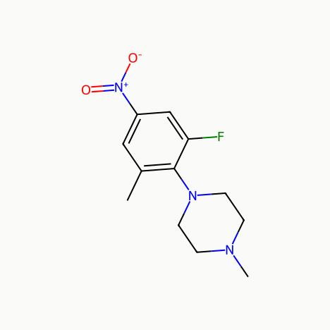 Cc1cc([N+](=O)[O-])cc(F)c1N1CCN(C)CC1